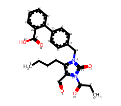 CCCCc1c(C=O)n(C(=O)CC)c(=O)n1Cc1ccc(-c2ccccc2C(=O)O)cc1